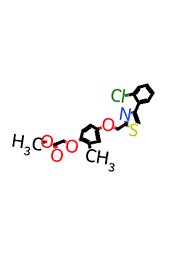 COC(=O)COc1ccc(OCc2nc(-c3ccccc3Cl)cs2)cc1C